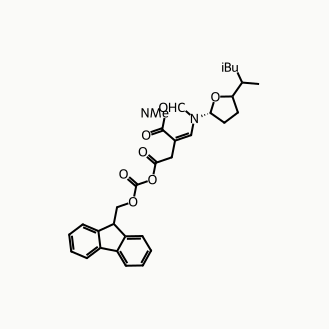 CCC(C)C(C)C1CC[C@H](N(C=O)/C=C(/CC(=O)OC(=O)OCC2c3ccccc3-c3ccccc32)C(=O)NC)O1